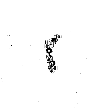 CC(C)(C)c1cc(NC(=O)Nc2ccc(-c3cn4c(n3)sc3nc(NS(C)(=O)=O)ccc34)cc2)no1